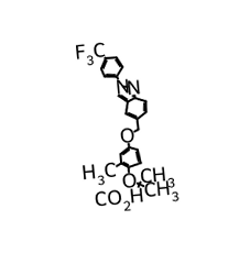 Cc1cc(OCc2ccc3nn(-c4ccc(C(F)(F)F)cc4)cc3c2)ccc1OC(C)(C)C(=O)O